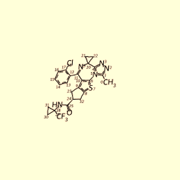 Cc1nnc2n1-c1sc3c(c1C(c1ccccc1Cl)=NC21CC1)C[C@H](C(=O)NC1(C(F)(F)F)CC1)C3